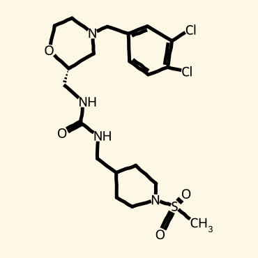 CS(=O)(=O)N1CCC(CNC(=O)NC[C@H]2CN(Cc3ccc(Cl)c(Cl)c3)CCO2)CC1